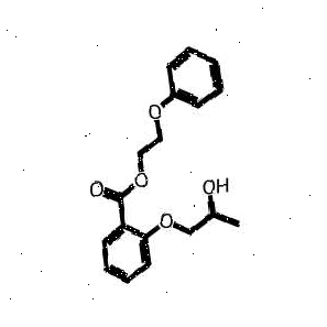 CC(O)COc1ccccc1C(=O)OCCOc1ccccc1